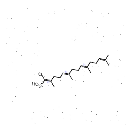 CC(C)=CCC/C(C)=C/CC/C(C)=C/CC/C(C)=C(\Cl)C(=O)O